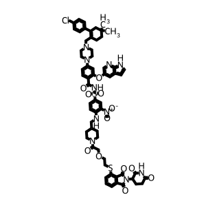 CC1(C)CCC(CN2CCN(c3ccc(C(=O)NS(=O)(=O)c4ccc(NCC5CCN(C(=O)COCCSc6cccc7c6C(=O)N(C6CCC(=O)NC6=O)C7=O)CC5)c([N+](=O)[O-])c4)c(Oc4cnc5[nH]ccc5c4)c3)CC2)=C(c2ccc(Cl)cc2)C1